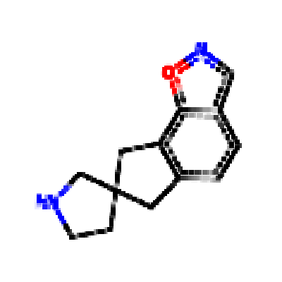 c1cc2cnoc2c2c1CC1(CCNC1)C2